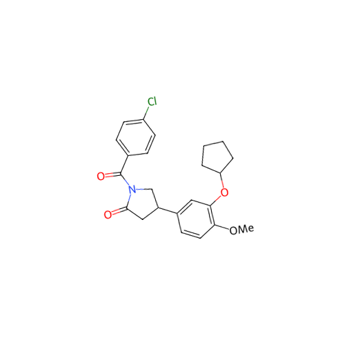 COc1ccc(C2CC(=O)N(C(=O)c3ccc(Cl)cc3)C2)cc1OC1CCCC1